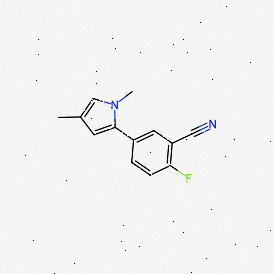 Cc1cc(-c2ccc(F)c(C#N)c2)n(C)c1